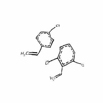 C=Cc1c(Cl)cccc1Cl.C=Cc1ccc(Cl)cc1